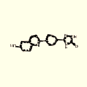 O=c1[nH]nc(-c2ccc(-c3ccc4cc(O)ccc4n3)cc2)[nH]1